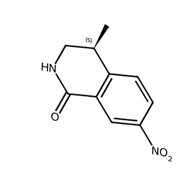 C[C@@H]1CNC(=O)c2cc([N+](=O)[O-])ccc21